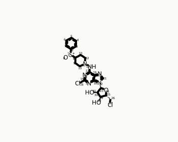 [O-][S+](c1ccccc1)C1CCN(Nc2nc(Cl)nc3c2ncn3[C@@H]2O[C@H](CCl)[C@@H](O)[C@H]2O)CC1